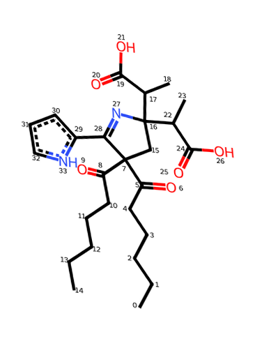 CCCCCC(=O)C1(C(=O)CCCCC)CC(C(C)C(=O)O)(C(C)C(=O)O)N=C1c1ccc[nH]1